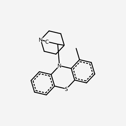 Cc1cccc2c1N(C1CN3CCC1CC3)c1ccccc1S2